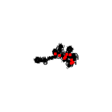 CC(=O)O[C@H]1C(=O)[C@]23C[C@H]2C[C@H]2OC[C@@]2(OC(C)=O)[C@H]3[C@H](OC(=O)c2ccccc2)[C@]2(O)CC(OC(=O)[C@H](OC(=O)CCCCCNC(=O)OCc3ccccc3)[C@@H](NC(=O)OC(C)(C)C)c3ccccc3)C(C)=C1C2(C)C